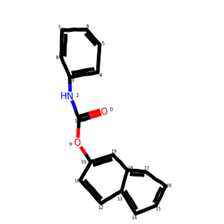 O=C(Nc1ccccc1)Oc1ccc2ccccc2c1